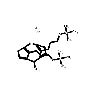 CC1C2=CC[C](=C2CCCO[Si](C)(C)C)[Zr+2][C]2=C(CCCO[Si](C)(C)C)C1=CC2.[Cl-].[Cl-]